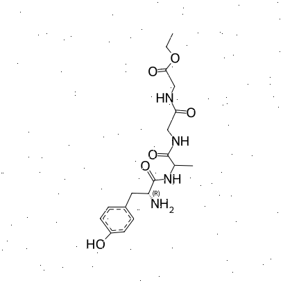 CCOC(=O)CNC(=O)CNC(=O)C(C)NC(=O)[C@H](N)Cc1ccc(O)cc1